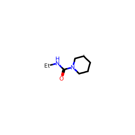 CCNC(=O)N1C[CH]CCC1